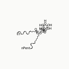 CC/C=C\C/C=C\C/C=C\C/C=C\C/C=C\CCCC(=O)OC[C@H](COP(=O)(O)OC1C(O)C(O)C(O)[C@@H](O)C1O)OC(=O)CCCCCC/C=C\C/C=C\C/C=C\CCCCC